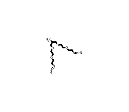 CC(COCCOCCN=[N+]=[N-])COCCOCCN=[N+]=[N-]